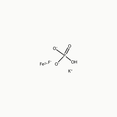 O=P([O-])([O-])O.[F-].[Fe+2].[K+]